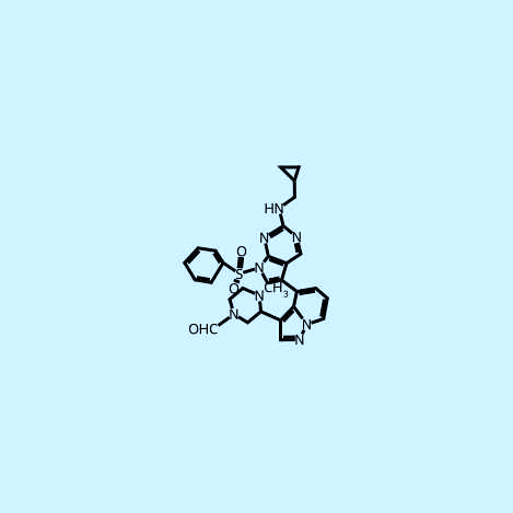 CN1CCN(C=O)CC1c1cnn2cccc(-c3cn(S(=O)(=O)c4ccccc4)c4nc(NCC5CC5)ncc34)c12